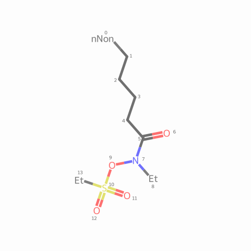 CCCCCCCCCCCCCC(=O)N(CC)OS(=O)(=O)CC